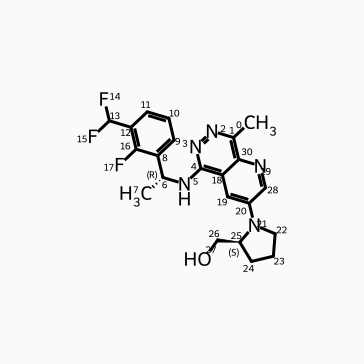 Cc1nnc(N[C@H](C)c2cccc(C(F)F)c2F)c2cc(N3CCC[C@H]3CO)cnc12